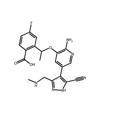 CNCc1n[nH]c(C#N)c1-c1cnc(N)c(OC(C)c2cc(F)ccc2C(=O)O)c1